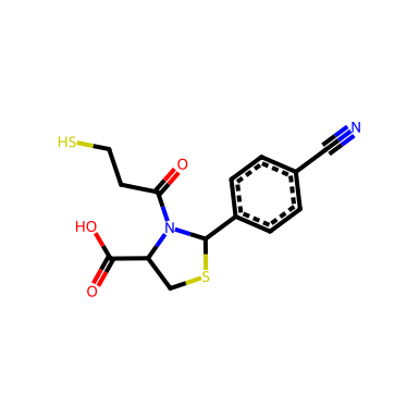 N#Cc1ccc(C2SCC(C(=O)O)N2C(=O)CCS)cc1